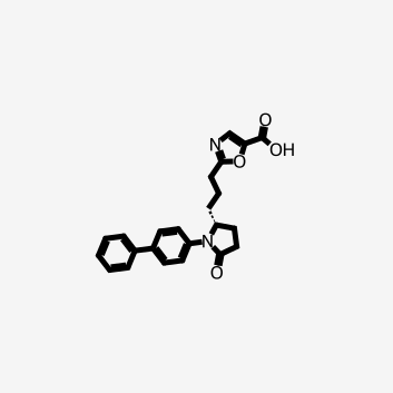 O=C(O)c1cnc(CCC[C@@H]2CCC(=O)N2c2ccc(-c3ccccc3)cc2)o1